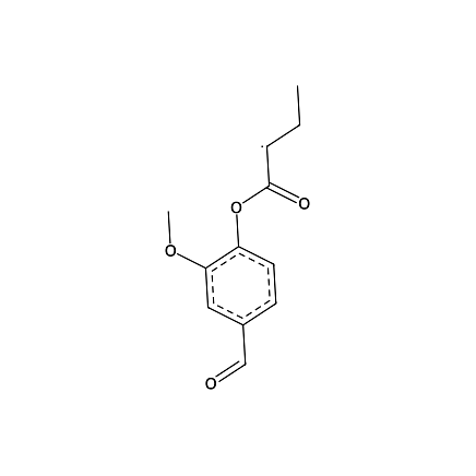 CC[CH]C(=O)Oc1ccc(C=O)cc1OC